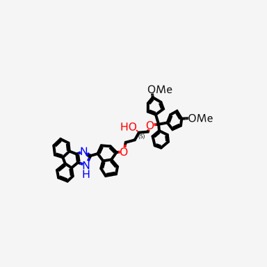 COc1ccc(C(OC[C@@H](O)CCOc2ccc(-c3nc4c5ccccc5c5ccccc5c4[nH]3)c3ccccc23)(c2ccccc2)c2ccc(OC)cc2)cc1